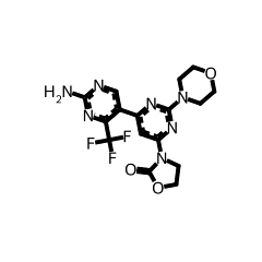 Nc1ncc(-c2cc(N3CCOC3=O)nc(N3CCOCC3)n2)c(C(F)(F)F)n1